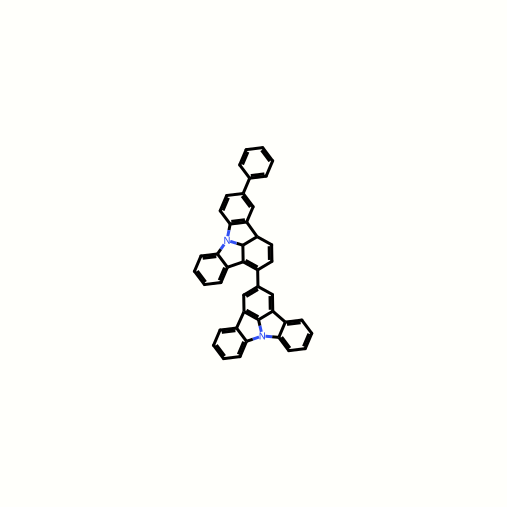 C1=CC2c3cc(-c4ccccc4)ccc3N3c4ccccc4C(=C1c1cc4c5ccccc5n5c6ccccc6c(c1)c45)C23